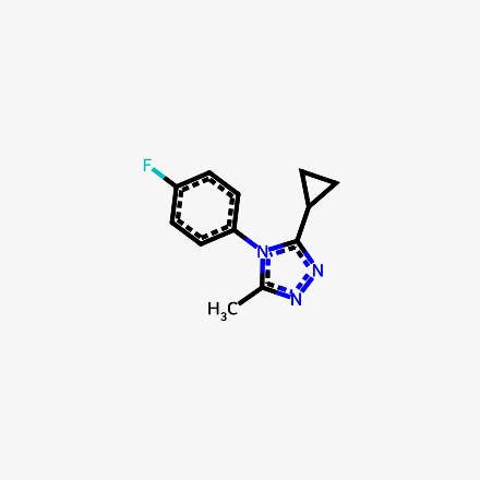 Cc1nnc(C2CC2)n1-c1ccc(F)cc1